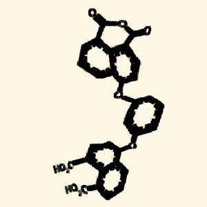 O=C(O)c1cccc2c(Oc3cccc(Oc4ccc5c6c(cccc46)C(=O)OC5=O)c3)ccc(C(=O)O)c12